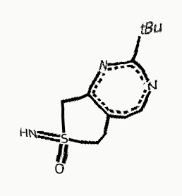 CC(C)(C)c1ncc2c(n1)CS(=N)(=O)C2